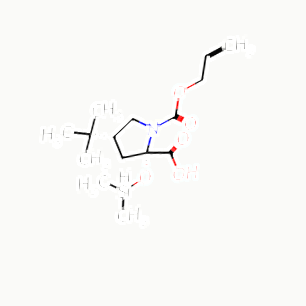 C=CCOC(=O)N1C[C@@H](C(C)(C)C)C[C@]1(O[SiH](C)C)C(=O)O